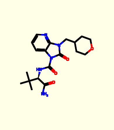 CC(C)(C)[C@H](NC(=O)n1c(=O)n(CC2CCOCC2)c2ncccc21)C(N)=O